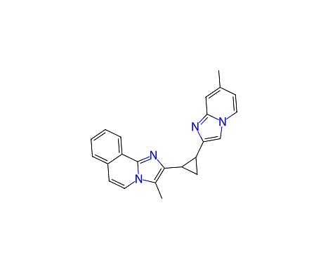 Cc1ccn2cc(C3CC3c3nc4c5ccccc5ccn4c3C)nc2c1